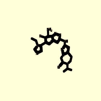 CCn1cncc1-c1cc2cc(Nc3cc4n(n3)CC(=O)N(C(C)C)CC4)nnc2c(N)c1F